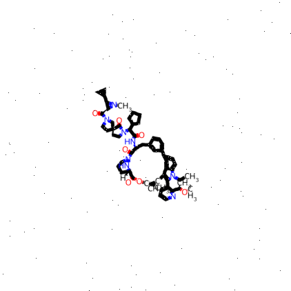 CCn1c(-c2cccnc2[C@H](C)OC)c2c3cc(ccc31)-c1cccc(c1)C[C@H](NC(=O)C(C1CCCC1)N1CC[C@]3(CCN(C(=O)[C@H]4C(C5CC5)N4C)C3)C1=O)C(=O)N1CCC[C@H](N1)C(=O)OCC(C)(C)C2